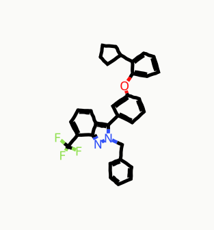 FC(F)(F)c1cccc2c(-c3cccc(Oc4ccccc4C4CCCC4)c3)n(Cc3ccccc3)nc12